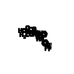 CN(C(=O)O)C(C)(C)C(=O)NNC(=O)c1ccccc1Nc1ccc(C(F)(F)F)cc1